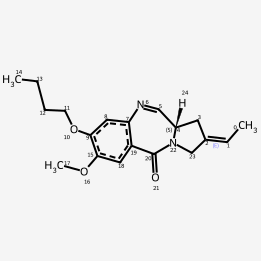 C/C=C1\C[C@H]2C=Nc3cc(OCCCC)c(OC)cc3C(=O)N2C1